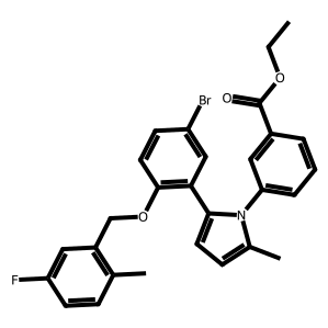 CCOC(=O)c1cccc(-n2c(C)ccc2-c2cc(Br)ccc2OCc2cc(F)ccc2C)c1